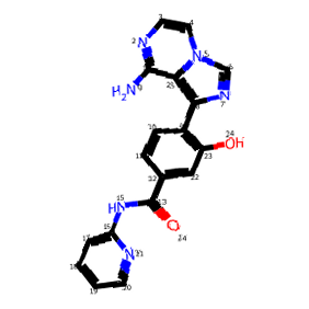 Nc1nccn2cnc(-c3ccc(C(=O)Nc4ccccn4)cc3O)c12